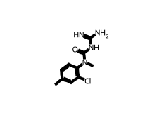 Cc1ccc(N(C)C(=O)NC(=N)N)c(Cl)c1